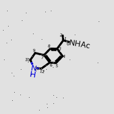 CC(=O)NC(C)c1ccc2c(c1)CCNC2